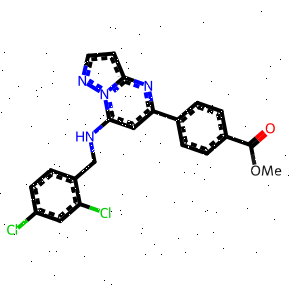 COC(=O)c1ccc(-c2cc(NCc3ccc(Cl)cc3Cl)n3nccc3n2)cc1